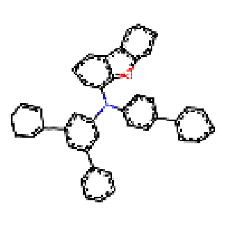 C1=CC(c2cc(-c3ccccc3)cc(N(c3ccc(-c4ccccc4)cc3)c3cccc4c3oc3ccccc34)c2)=CCC1